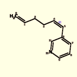 C=CCC/C=C\c1cccnc1